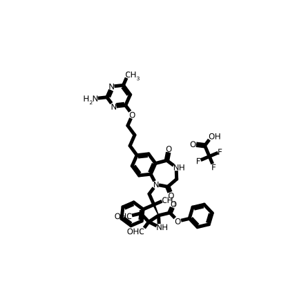 Cc1cc(OCCCc2ccc3c(c2)C(=O)NCC(=O)N3CC(C)(c2ccccc2)[C@@]2(C(=O)Oc3ccccc3)NC2(C=O)CC=O)nc(N)n1.O=C(O)C(F)(F)F